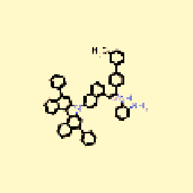 CC1C=CC=C(c2ccc(/C(=C\c3cccc4cc(-n5c6cc(-c7ccccc7)c7ccccc7c6c6c7ccccc7c(-c7ccccc7)cc65)ccc34)Nc3ccccc3N)cc2)C1